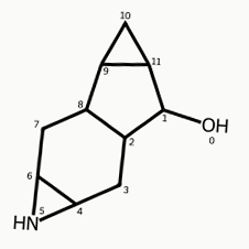 OC1C2CC3NC3CC2C2CC12